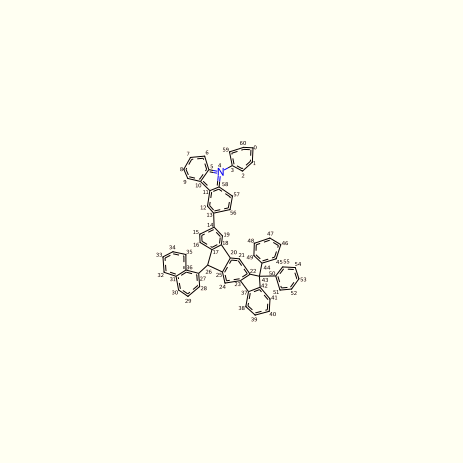 c1ccc(-n2c3ccccc3c3cc(-c4ccc5c(c4)-c4cc6c(cc4C5c4cccc5ccccc45)-c4ccccc4C6(c4ccccc4)c4ccccc4)ccc32)cc1